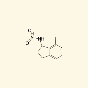 Cc1cccc2c1C(N[SH](=O)=O)CC2